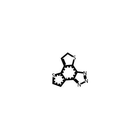 C1=c2c(c3c(c4ccsc24)=NN=N3)SC1